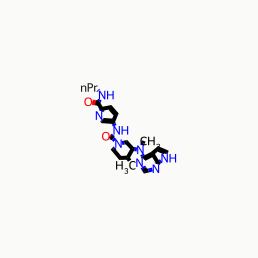 CCCNC(=O)c1ccc(NC(=O)N2CCC(C)C(N(C)c3ncnc4[nH]ccc34)C2)cn1